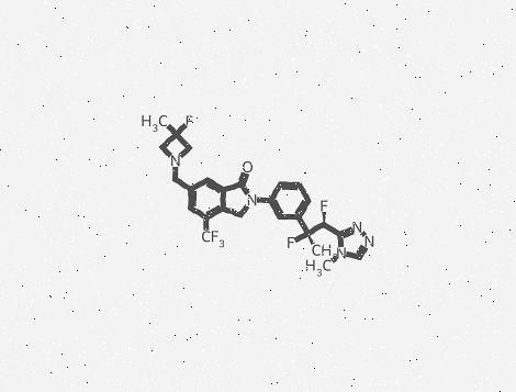 Cn1cnnc1[C@H](F)[C@](C)(F)c1cccc(N2Cc3c(cc(CN4CC(C)(F)C4)cc3C(F)(F)F)C2=O)c1